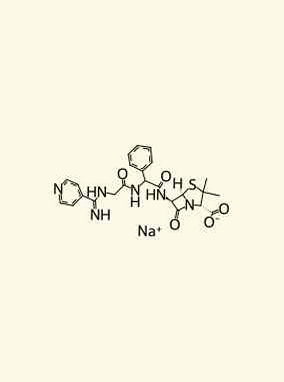 CC1(C)S[C@@H]2[C@H](NC(=O)C(NC(=O)CNC(=N)c3ccncc3)c3ccccc3)C(=O)N2[C@H]1C(=O)[O-].[Na+]